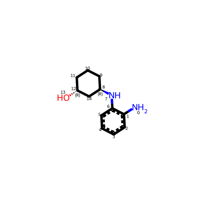 Nc1ccccc1N[C@@H]1CCC[C@@H](O)C1